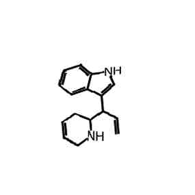 C=CC(c1c[nH]c2ccccc12)C1CC=CCN1